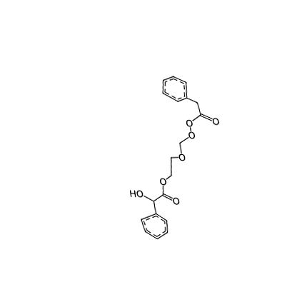 O=C(Cc1ccccc1)OOCOCCOC(=O)C(O)c1ccccc1